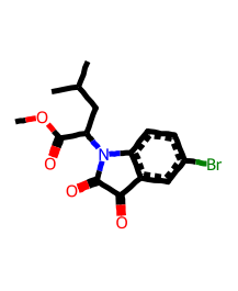 COC(=O)C(CC(C)C)N1C(=O)C(=O)c2cc(Br)ccc21